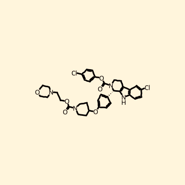 O=C(OCCN1CCOCC1)N1CCC(Oc2ccc([C@H]3c4[nH]c5ccc(Cl)cc5c4CCN3C(=O)Oc3ccc(Cl)cc3)cc2)CC1